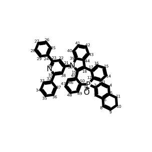 O=P1(c2ccc3c(c2)C=CCC3)c2ccccc2-c2c(n(-c3cc(-c4ccccc4)nc(-c4ccccc4)c3)c3ccccc23)-c2ccccc21